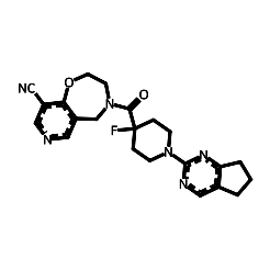 N#Cc1cncc2c1OCCN(C(=O)C1(F)CCN(c3ncc4c(n3)CCC4)CC1)C2